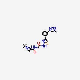 Cc1cc(-c2cccc(-c3csc(NC(=O)CNC(=O)c4ccn(C(C)(C)C)c4)n3)c2)ncn1